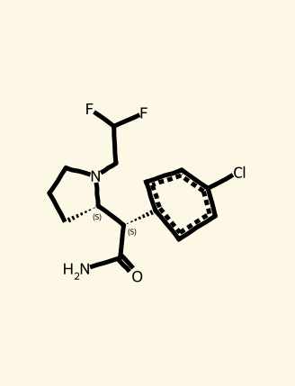 NC(=O)[C@@H](c1ccc(Cl)cc1)[C@@H]1CCCN1CC(F)F